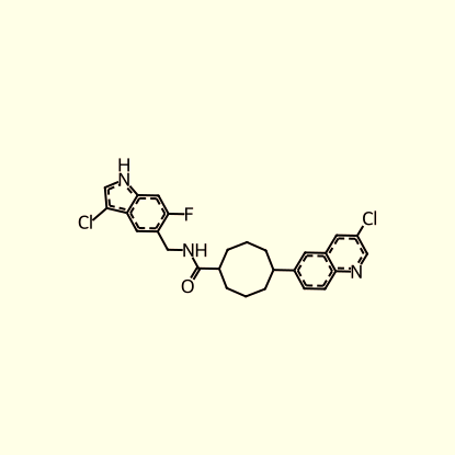 O=C(NCc1cc2c(Cl)c[nH]c2cc1F)C1CCCC(c2ccc3ncc(Cl)cc3c2)CCC1